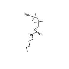 C#CC(C)(C)CC(C)(C)COC(=O)NCCCCC